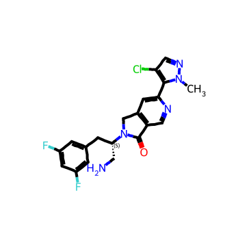 Cn1ncc(Cl)c1-c1cc2c(cn1)C(=O)N([C@H](CN)Cc1cc(F)cc(F)c1)C2